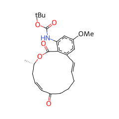 COc1cc2c(c(NC(=O)OC(C)(C)C)c1)C(=O)O[C@@H](C)C/C=C\C(=O)CCC/C=C/2